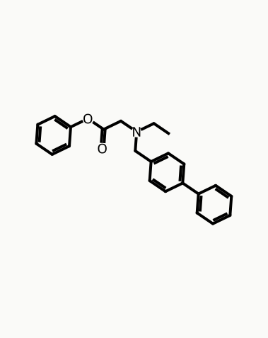 CCN(CC(=O)Oc1ccccc1)Cc1ccc(-c2ccccc2)cc1